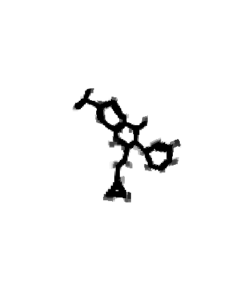 C=C(C)c1ccc2c(c1)N=C(CCC1CC1)C(c1ccccc1)N2C